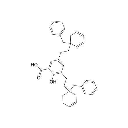 O=C(O)c1cc(CCC2(Cc3ccccc3)C=CC=CC2)cc(CCC2(Cc3ccccc3)C=CC=CC2)c1O